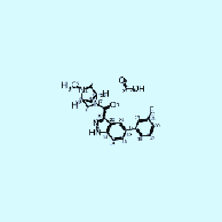 CN1C[C@@H]2C[C@H]1CN2C(=O)c1n[nH]c2ccc(-c3cccc(F)c3)cc12.O=CO